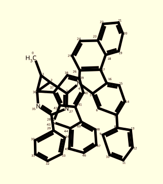 CC1C2C(n3c4cc(-c5ccccc5)ccc4c4c5ccccc5ccc43)=NC(c3ccccc3)=NC12c1cccc2c1sc1ccccc12